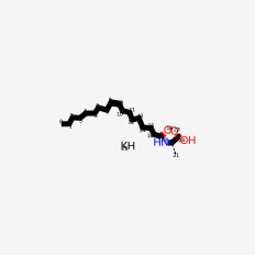 CCCCCCCC/C=C\CCCCCCCC(=O)N[C@@H](C)C(=O)O.[KH]